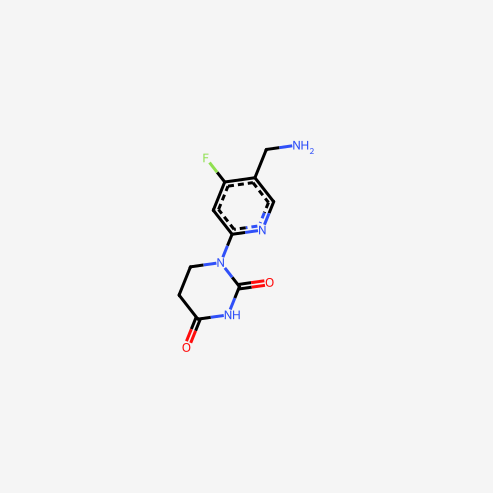 NCc1cnc(N2CCC(=O)NC2=O)cc1F